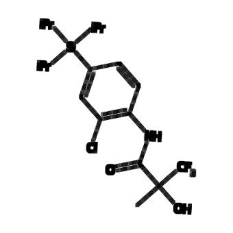 CC(C)[Si](c1ccc(NC(=O)C(C)(O)C(F)(F)F)c(Cl)c1)(C(C)C)C(C)C